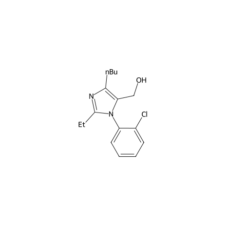 CCCCc1nc(CC)n(-c2ccccc2Cl)c1CO